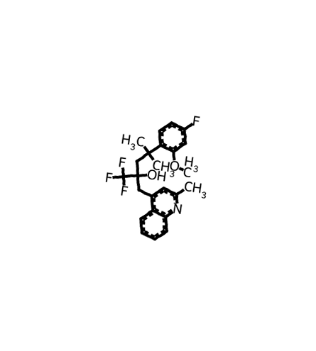 COc1cc(F)ccc1C(C)(C)CC(O)(Cc1cc(C)nc2ccccc12)C(F)(F)F